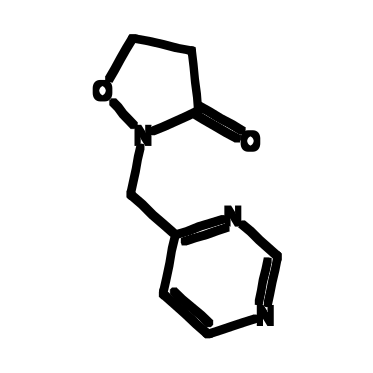 O=C1CCON1Cc1ccncn1